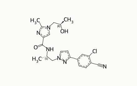 Cc1nc(C(=O)N[C@@H](C)Cn2ccc(-c3ccc(C#N)c(Cl)c3)n2)cn1C[C@@H](C)O